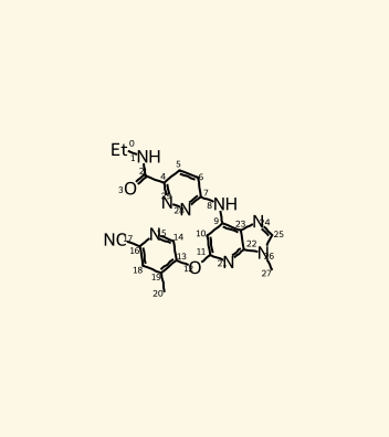 CCNC(=O)c1ccc(Nc2cc(Oc3cnc(C#N)cc3C)nc3c2ncn3C)nn1